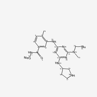 CONC(=O)c1ccc(C)c(Nc2nc(NC3CCNC3)nc(N(C)CC(C)(C)C)n2)c1